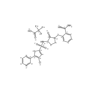 N=C(N)c1ccccc1CN1CCC(NS(=O)(=O)c2cc(Cl)c(-c3cccnc3)s2)C1=O.O=C(O)C(F)(F)F